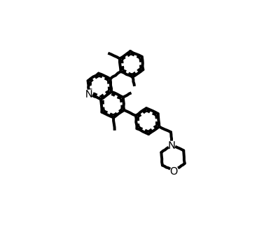 Cc1cccc(C)c1-c1ccnc2cc(C)c(-c3ccc(CN4CCOCC4)cc3)c(C)c12